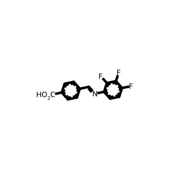 O=C(O)c1ccc(/C=N/c2ccc(F)c(F)c2F)cc1